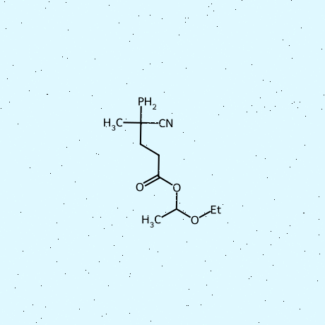 CCOC(C)OC(=O)CCC(C)(P)C#N